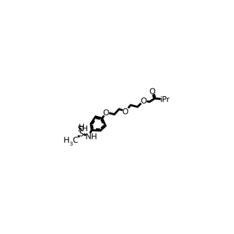 CC(C)C(=O)COCCOCCOc1ccc(N[SH](C)S)cc1